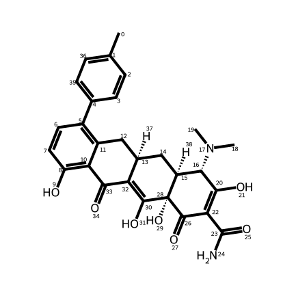 Cc1ccc(-c2ccc(O)c3c2C[C@H]2C[C@H]4[C@H](N(C)C)C(O)=C(C(N)=O)C(=O)[C@@]4(O)C(O)=C2C3=O)cc1